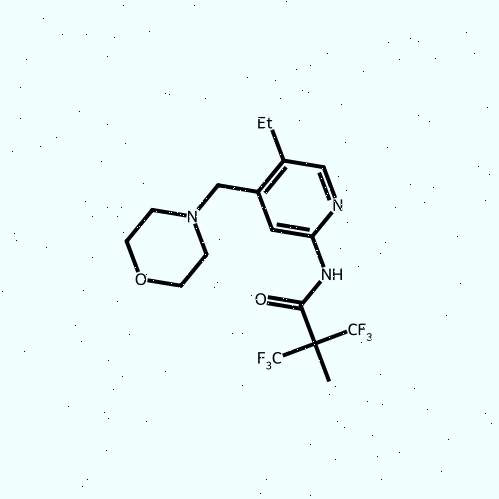 CCc1cnc(NC(=O)C(C)(C(F)(F)F)C(F)(F)F)cc1CN1CCOCC1